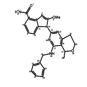 COc1nc2c(C(N)=O)cccc2n1-c1nc2c(c(NCc3ccccc3)n1)C(C)OCC2